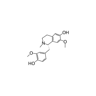 COc1cc(C[C@H]2c3cc(OC)c(O)cc3CCN2C)ccc1O